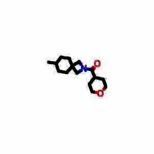 CC1CCC2(CC1)CN(C(=O)C1CCOCC1)C2